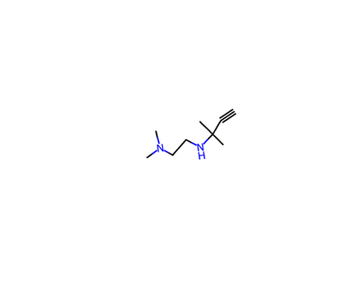 C#CC(C)(C)NCCN(C)C